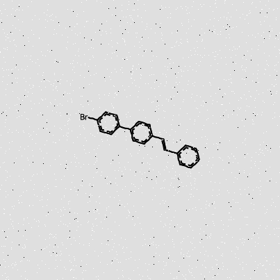 Brc1ccc(-c2ccc(C=Cc3ccccc3)cc2)cc1